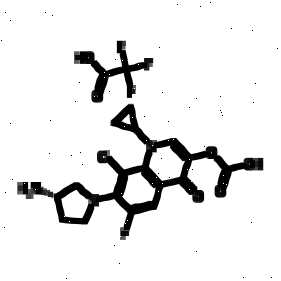 N[C@H]1CCN(c2c(F)cc3c(=O)c(OC(=O)O)cn(C4CC4)c3c2Cl)C1.O=C(O)C(F)(F)F